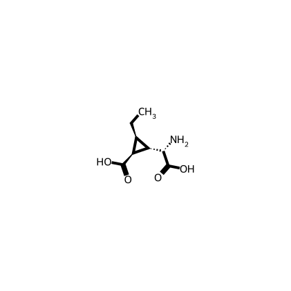 CC[C@@H]1[C@H](C(=O)O)[C@H]1[C@H](N)C(=O)O